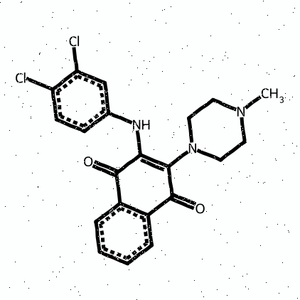 CN1CCN(C2=C(Nc3ccc(Cl)c(Cl)c3)C(=O)c3ccccc3C2=O)CC1